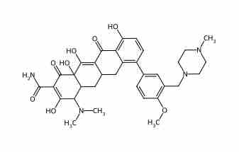 COc1ccc(-c2ccc(O)c3c2CC2CC4C(N(C)C)C(O)=C(C(N)=O)C(=O)C4(O)C(O)=C2C3=O)cc1CN1CCN(C)CC1